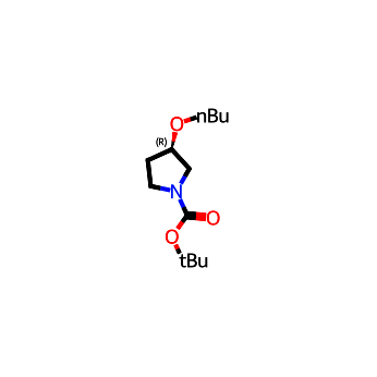 CCCCO[C@@H]1CCN(C(=O)OC(C)(C)C)C1